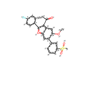 CNC(=O)c1c(-c2ccc(F)cc2)oc2cc(-c3cccc(S(C)(=O)=O)c3)c(OC(C)C)cc12